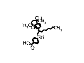 CCCCCC/C=C(/CNc1ccc(C(=O)O)cc1)c1ccc2c(c1)C(C)(C)CCC2(C)C